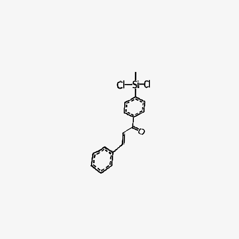 C[Si](Cl)(Cl)c1ccc(C(=O)C=Cc2ccccc2)cc1